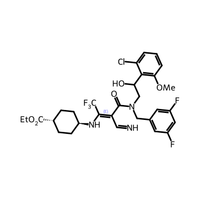 CCOC(=O)[C@H]1CC[C@H](N/C(=C(\C=N)C(=O)N(Cc2cc(F)cc(F)c2)CC(O)c2c(Cl)cccc2OC)C(F)(F)F)CC1